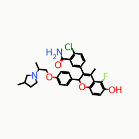 CC1=C(c2ccc(Cl)c(C(N)=O)c2)C(c2ccc(OCC(C)N3CCC(C)C3)cc2)Oc2ccc(O)c(F)c21